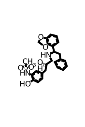 CS(=O)(=O)Nc1cc(C[C@H](O)CNC(Cc2ccccc2)c2cccc3c2OCO3)ccc1O